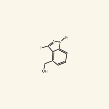 CC(C)n1nc(F)c2c(CO)cccc21